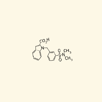 CN(C)S(=O)(=O)c1cccc(Cn2c(C(=O)O)cc3ccccc32)c1